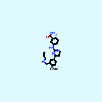 C=CCN(C)Cc1cc(-c2ccnc(Nc3cccc(C(N)=O)c3)n2)ccc1OC